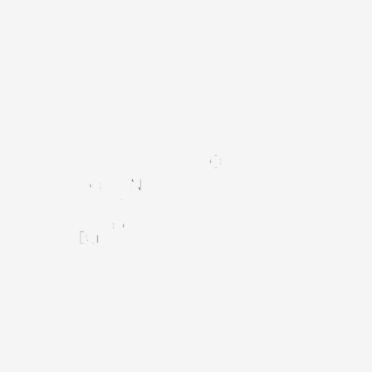 CC=CCOc1cccc2c1CCN2C(=O)OC(C)(C)C